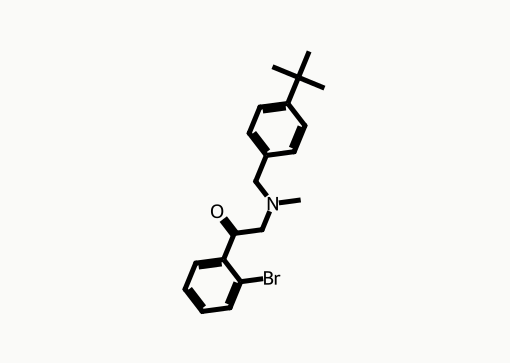 CN(CC(=O)c1ccccc1Br)Cc1ccc(C(C)(C)C)cc1